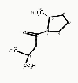 O=C(O)C(CC(=O)N1CCC[C@H]1C(=O)O)C(F)(F)F